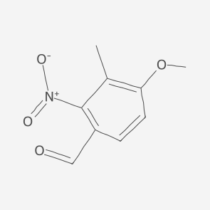 COc1ccc(C=O)c([N+](=O)[O-])c1C